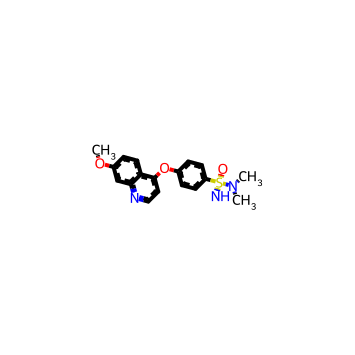 COc1ccc2c(Oc3ccc(S(=N)(=O)N(C)C)cc3)ccnc2c1